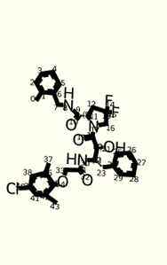 Cc1ccccc1CNC(=O)[C@@H]1CC(F)(F)CN1C(=O)[C@@H](O)[C@H](Cc1ccccc1)NC(=O)COc1c(C)cc(Cl)cc1C